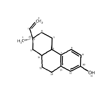 C=C[C@@]1(C)CCC2c3ccc(O)cc3CCC2C1